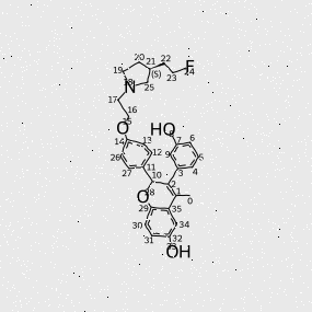 CC1=C(c2cccc(O)c2)C(c2ccc(OCCN3CC[C@@H](CCF)C3)cc2)Oc2ccc(O)cc21